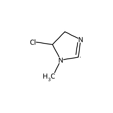 CN1[C]=NCC1Cl